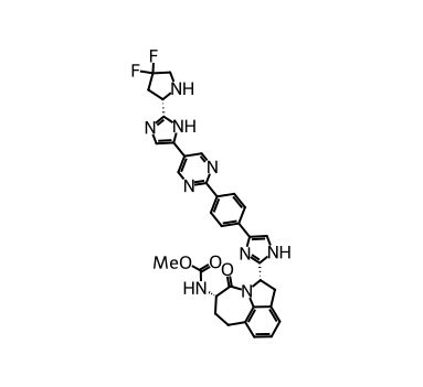 COC(=O)N[C@H]1CCc2cccc3c2N(C1=O)[C@H](c1nc(-c2ccc(-c4ncc(-c5cnc([C@@H]6CC(F)(F)CN6)[nH]5)cn4)cc2)c[nH]1)C3